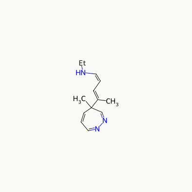 CCN/C=C\C=C(/C)C1(C)C=CC=NN=C1